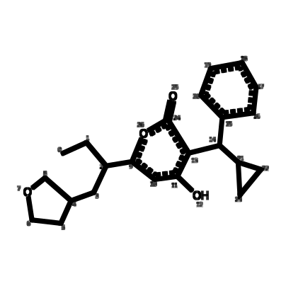 CCC(CC1CCOC1)c1cc(O)c(C(c2ccccc2)C2CC2)c(=O)o1